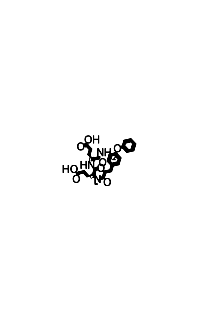 CN(C(=O)CCc1ccc(Oc2ccccc2)cc1)[C@@H](CCC(=O)O)C(=O)N[C@@H](CCC(=O)O)C(N)=O